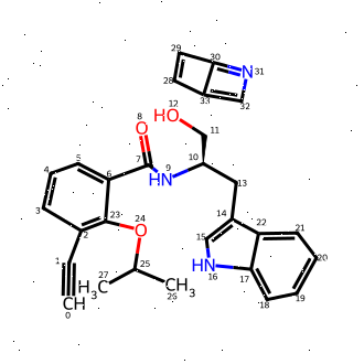 C#Cc1cccc(C(=O)N[C@@H](CO)Cc2c[nH]c3ccccc23)c1OC(C)C.c1cc2ncc1-2